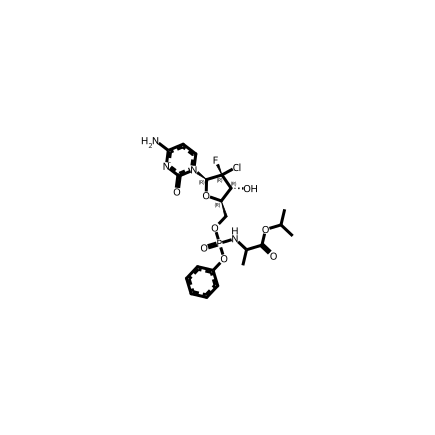 CC(C)OC(=O)C(C)NP(=O)(OC[C@H]1O[C@@H](n2ccc(N)nc2=O)[C@](F)(Cl)[C@@H]1O)Oc1ccccc1